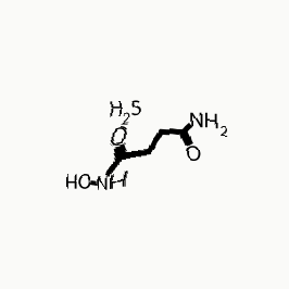 NC(=O)CCC(=O)NO.S